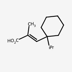 CC(=CC1(C(C)C)CCCCC1)C(=O)O